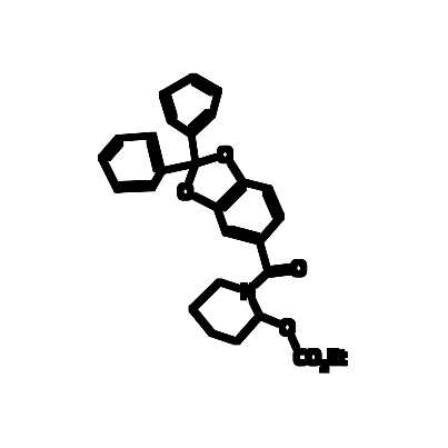 CCOC(=O)OC1CCCCN1C(=O)c1ccc2c(c1)OC(c1ccccc1)(c1ccccc1)O2